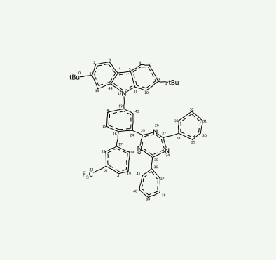 CC(C)(C)c1ccc2c3ccc(C(C)(C)C)cc3n(-c3ccc(-c4cccc(C(F)(F)F)c4)c(-c4nc(-c5ccccc5)nc(-c5ccccc5)n4)c3)c2c1